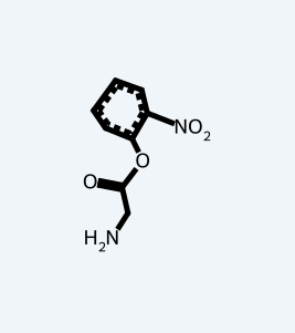 NCC(=O)Oc1ccccc1[N+](=O)[O-]